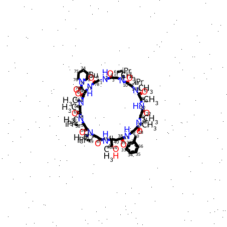 CC[C@H](C)[C@@H]1NC(=O)[C@H](CC(C)C)N(C)C(=O)[C@H](C(C)C)N(C)C(=O)[C@H](C)NC(=O)[C@H](C)N(C)C(=O)[C@H](Cc2ccccc2)NC(=O)CC([C@@H](C)O)NC(=O)[C@H](CC(C)C)N(C)C(=O)[C@H](CC(C)C)N(C)C(=O)[C@H](C)N(C)C(=O)[C@@H](C(=O)N2CCCCC2)NC1=O